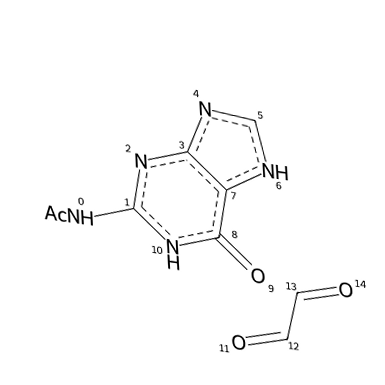 CC(=O)Nc1nc2nc[nH]c2c(=O)[nH]1.O=CC=O